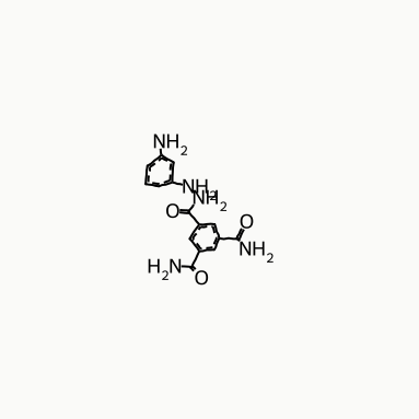 NC(=O)c1cc(C(N)=O)cc(C(N)=O)c1.Nc1cccc(N)c1